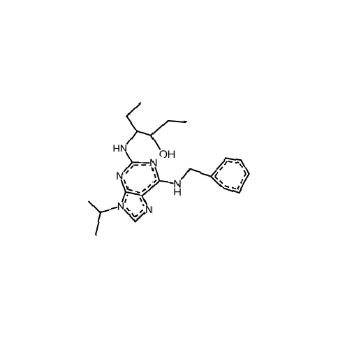 CCC(O)C(CC)Nc1nc(NCc2ccccc2)c2ncn(C(C)C)c2n1